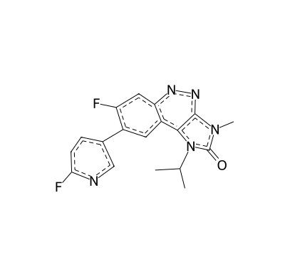 CC(C)n1c(=O)n(C)c2nnc3cc(F)c(-c4ccc(F)nc4)cc3c21